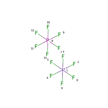 F[I+](F)(F)(F)(F)F.F[P-](F)(F)(F)(F)F